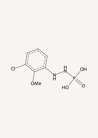 COc1c(Cl)cccc1NNP(=O)(O)O